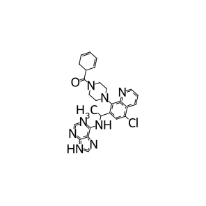 CC(Nc1ncnc2[nH]cnc12)c1cc(Cl)c2cccnc2c1N1CCN(C(=O)C2C=CC=CC2)CC1